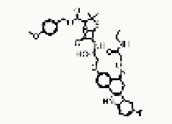 CCNC(=O)CO/N=C1/CC2=C(NC3=CC=C(F)CC32)c2ccc(OCC(O)NC3C(=O)N4C3SC(C)(C)C4C(=O)OCc3ccc(OC)cc3)cc21